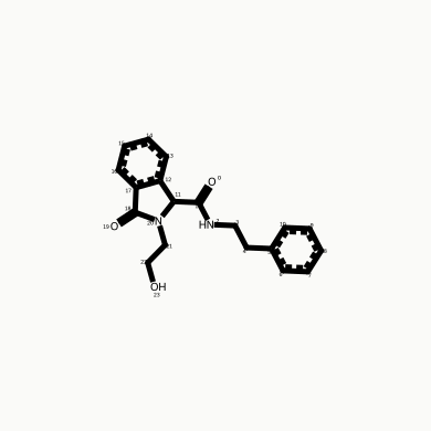 O=C(NCCc1ccccc1)C1c2ccccc2C(=O)N1CCO